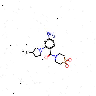 Nc1ccc(C(=O)N2CCS(=O)(=O)CC2)c(N2CCC(C(F)(F)F)C2)c1